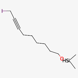 C[SiH](C)OCCCCCCC#CCI